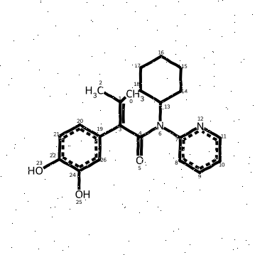 CC(C)=C(C(=O)N(c1ccccn1)C1CCCCC1)c1ccc(O)c(O)c1